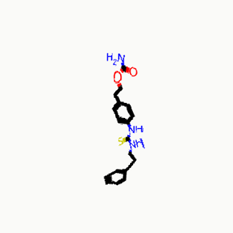 NC(=O)OCCc1ccc(NC(=S)NCCc2ccccc2)cc1